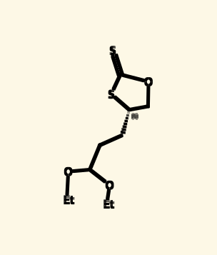 CCOC(CC[C@H]1COC(=S)S1)OCC